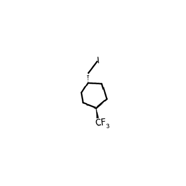 FC(F)(F)[C@H]1CC[C@H](CI)CC1